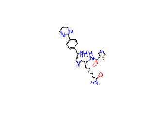 CNC(=O)CCCCCC(NC(=O)c1cncs1)c1ncc(-c2ccc(-c3ncccn3)cc2)[nH]1